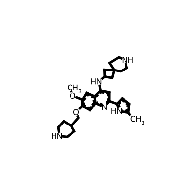 COc1cc2c(NC3CC4(CCNCC4)C3)cc(-c3ccc(C)[nH]3)nc2cc1OCC1CCNCC1